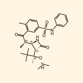 Cc1ccc(S(=O)(=O)Nc2ccccc2)cc1C(=O)[C@H](C)[C@H]1NC(=O)[C@@H]1[C@@](C)(O[SiH](C)C)C(C)(C)C